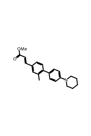 COC(=O)/C=C/c1ccc(-c2ccc(N3CCCCC3)cc2)c(C)c1